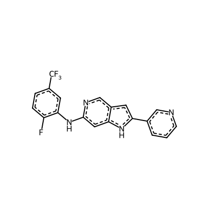 Fc1ccc(C(F)(F)F)cc1Nc1cc2[nH]c(-c3cccnc3)cc2cn1